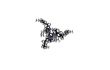 Nc1c(/N=N/c2ccc(S(=O)(=O)CCOSOOO)cc2S(=O)(=O)O)cc(/N=N/c2ccc(S(=O)(=O)CCOSOOO)cc2S(=O)(=O)O)c(N)c1/N=N/c1ccc(S(=O)(=O)CCOS(=O)(=O)O)cc1S(=O)(=O)O